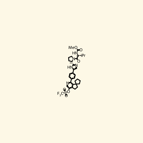 COC(=O)N[C@H](C(=O)N1CCC[C@H]1c1ncc(-c2ccc(-c3ncc(OS(=O)(=O)C(F)(F)F)c4c3C3(CCCC3)CC4)cc2)[nH]1)C(C)C